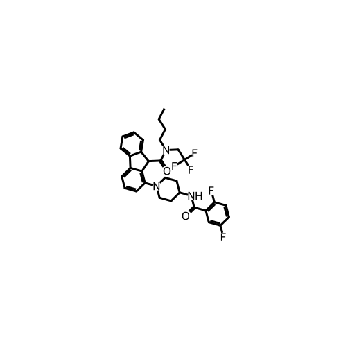 CCCCN(CC(F)(F)F)C(=O)C1c2ccccc2-c2cccc(N3CCC(NC(=O)c4cc(F)ccc4F)CC3)c21